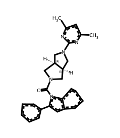 Cc1cc(C)nc(N2C[C@H]3CN(C(=O)n4c(-c5ccccc5)cc5ccccc54)C[C@H]3C2)n1